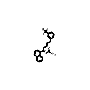 NC(=O)O[C@H](CCCCc1cccc(C(F)(F)F)c1)c1cccc2ccccc12